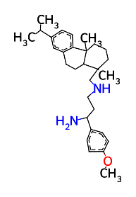 COc1ccc(C(N)CCNCC2(C)CCCC3(C)c4ccc(C(C)C)cc4CCC23)cc1